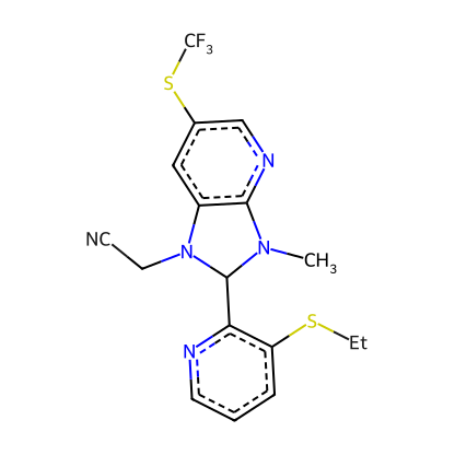 CCSc1cccnc1C1N(C)c2ncc(SC(F)(F)F)cc2N1CC#N